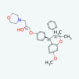 COc1ccc2c(c1)OC(C)(C)[C@@H](c1ccccc1)[C@@H]2c1ccc(OC[C@@H](O)CN2CCOCC2)cc1